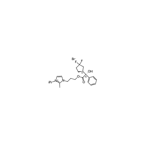 Cc1n(CCCOC(=O)[C@](O)(c2ccccc2)[C@H]2CCC(F)(F)C2)cc[n+]1C(C)C.[Br-]